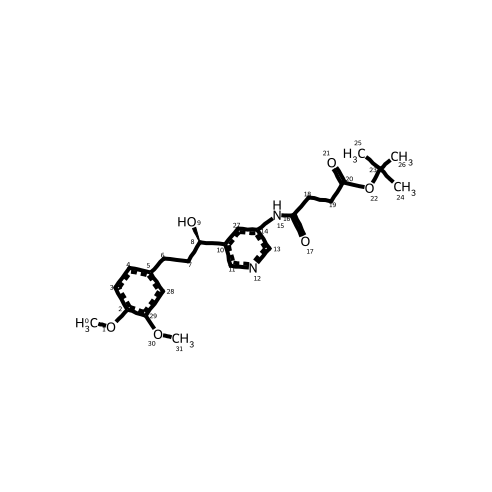 COc1ccc(CC[C@@H](O)c2cncc(NC(=O)CCC(=O)OC(C)(C)C)c2)cc1OC